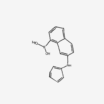 OB(O)c1cccc2ccc(Nc3ccccc3)cc12